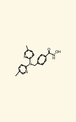 Cc1ccc(N(Cc2ccc(C(=O)NO)cc2)c2ccc(C)cn2)nc1